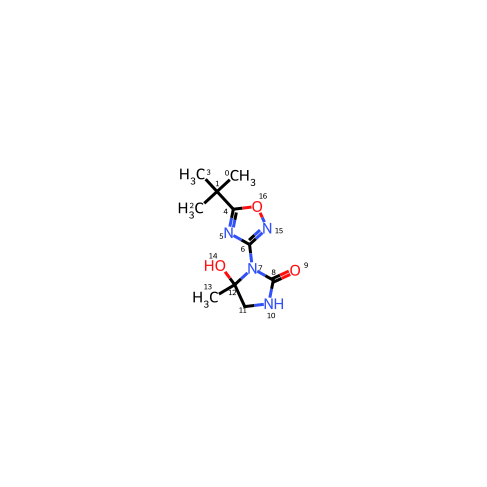 CC(C)(C)c1nc(N2C(=O)NCC2(C)O)no1